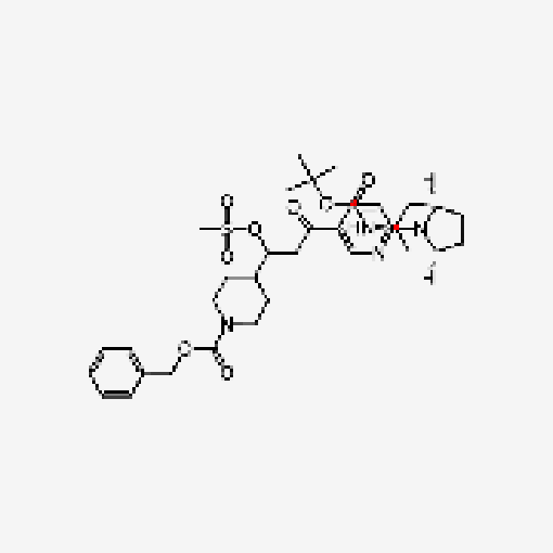 CC(C)(C)OC(=O)N[C@H]1C[C@H]2CC[C@@H](C1)N2c1ccc(C(=O)CC(OS(C)(=O)=O)C2CCN(C(=O)OCc3ccccc3)CC2)cn1